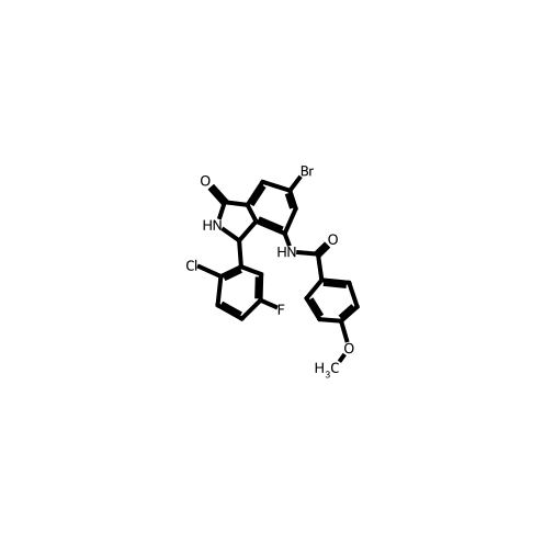 COc1ccc(C(=O)Nc2cc(Br)cc3c2C(c2cc(F)ccc2Cl)NC3=O)cc1